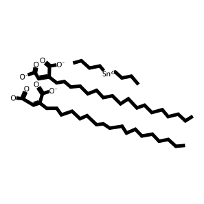 CCCCCCCCCCCCCCCCCC/C(=C/C(=O)[O-])C(=O)[O-].CCCCCCCCCCCCCCCCCC/C(=C/C(=O)[O-])C(=O)[O-].CCC[CH2][Sn+4][CH2]CCC